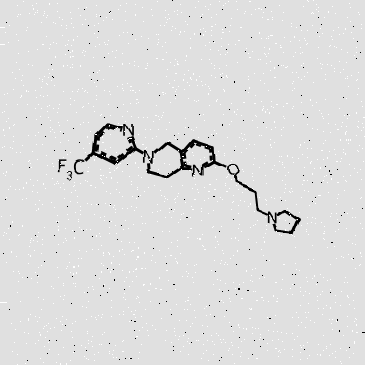 FC(F)(F)c1ccnc(N2CCc3nc(OCCCN4CCCC4)ccc3C2)c1